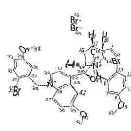 C=C[C@@H]1C[N@+]2(Cc3cc(OC)ccc3Br)CC[C@H]1C[C@@H]2[C@@H](O)c1cc[n+](Cc2cc(OC)ccc2Br)c2ccc(OC)cc12.[Br-].[Br-]